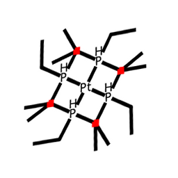 CC[PH](CC)(CC)[Pt]([PH](CC)(CC)CC)([PH](CC)(CC)CC)[PH](CC)(CC)CC